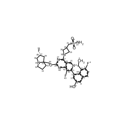 CCc1c(F)ccc2cc(O)cc(-c3ncc4c(N5CC(CS(N)(=O)=O)C5)nc(OCC56CCCN5C[C@H](F)C6)nc4c3F)c12